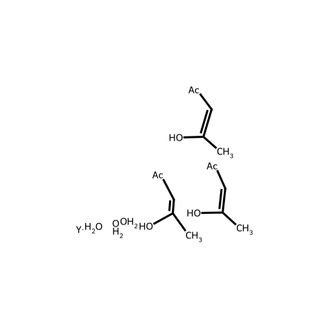 CC(=O)C=C(C)O.CC(=O)C=C(C)O.CC(=O)C=C(C)O.O.O.O.[Y]